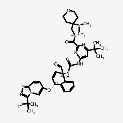 CN(C)C1(CNC(=O)c2nc(NC(=O)N[C@@]3(C=O)C=C[C@@H](Oc4ccc5nnc(C(C)(C)C)n5c4)c4ccccc43)cc(C(C)(C)C)n2)CCOCC1